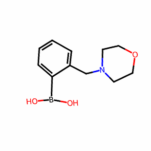 OB(O)c1ccccc1CN1CCOCC1